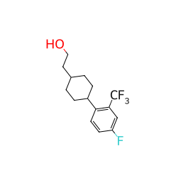 OCCC1CCC(c2ccc(F)cc2C(F)(F)F)CC1